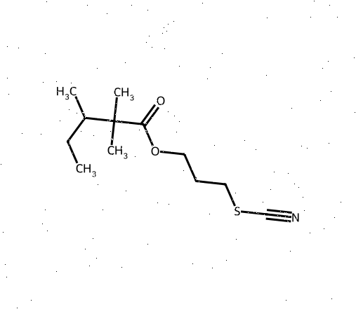 CCC(C)C(C)(C)C(=O)OCCCSC#N